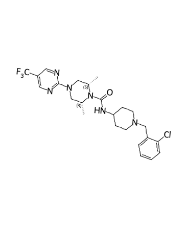 C[C@@H]1CN(c2ncc(C(F)(F)F)cn2)C[C@H](C)N1C(=O)NC1CCN(Cc2ccccc2Cl)CC1